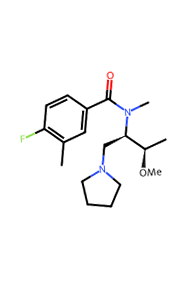 CO[C@H](C)[C@@H](CN1CCCC1)N(C)C(=O)c1ccc(F)c(C)c1